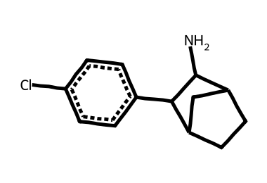 NC1C2CCC(C2)C1c1ccc(Cl)cc1